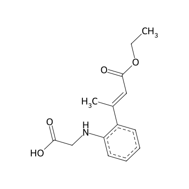 CCOC(=O)/C=C(\C)c1ccccc1NCC(=O)O